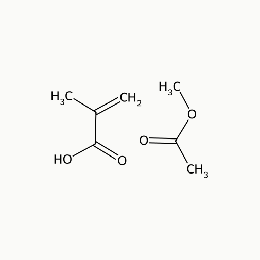 C=C(C)C(=O)O.COC(C)=O